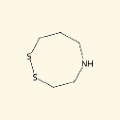 C1CNCCSSC1